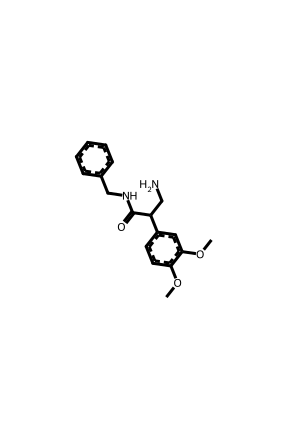 COc1ccc(C(CN)C(=O)NCc2ccccc2)cc1OC